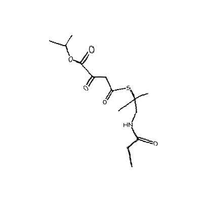 CCC(=O)NCC(C)(C)SC(=O)CC(=O)C(=O)OC(C)C